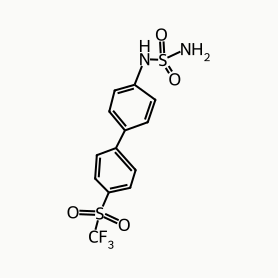 NS(=O)(=O)Nc1ccc(-c2ccc(S(=O)(=O)C(F)(F)F)cc2)cc1